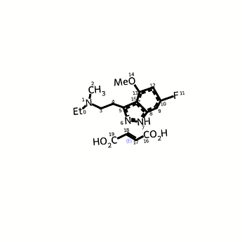 CCN(C)CCc1n[nH]c2cc(F)cc(OC)c12.O=C(O)/C=C/C(=O)O